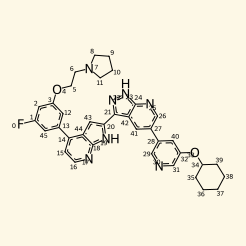 Fc1cc(OCCN2CCCC2)cc(-c2ccnc3[nH]c(-c4n[nH]c5ncc(-c6cncc(OC7CCCCC7)c6)cc45)cc23)c1